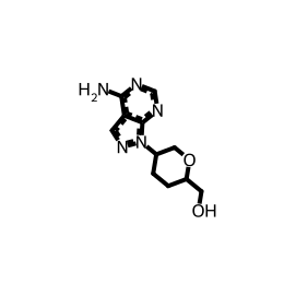 Nc1ncnc2c1cnn2C1CCC(CO)OC1